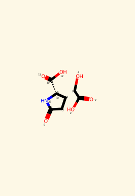 O=C(O)CO.O=C1CC[C@@H](C(=O)O)N1